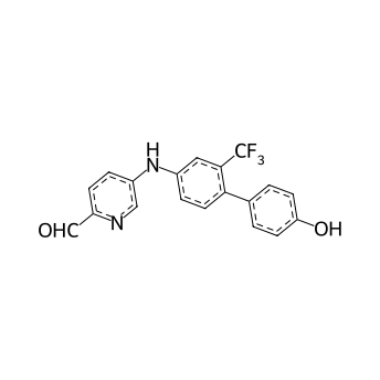 O=Cc1ccc(Nc2ccc(-c3ccc(O)cc3)c(C(F)(F)F)c2)cn1